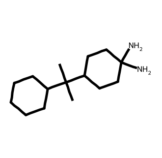 CC(C)(C1CCCCC1)C1CCC(N)(N)CC1